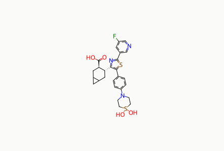 O=C(O)[C@@H]1CC2CC2C[C@H]1c1nc(-c2cncc(F)c2)sc1-c1ccc(N2CCS(O)(O)CC2)cc1